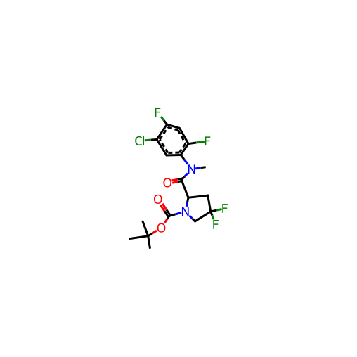 CN(C(=O)C1CC(F)(F)CN1C(=O)OC(C)(C)C)c1cc(Cl)c(F)cc1F